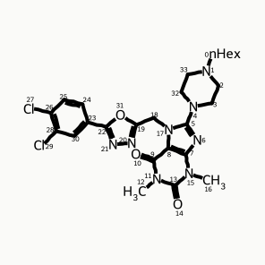 CCCCCCN1CCN(c2nc3c(c(=O)n(C)c(=O)n3C)n2Cc2nnc(-c3ccc(Cl)c(Cl)c3)o2)CC1